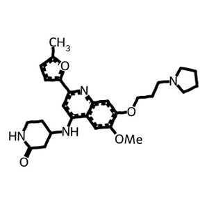 COc1cc2c(NC3CCNC(=O)C3)cc(-c3ccc(C)o3)nc2cc1OCCCN1CCCC1